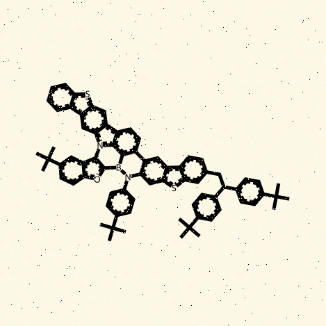 CC(C)(C)c1ccc(C(Cc2ccc3c(c2)sc2cc4c(cc23)-c2ccc3c5cc6sc7ccccc7c6cc5n5c3c2B(c2oc3ccc(C(C)(C)C)cc3c2-5)N4c2ccc(C(C)(C)C)cc2)c2ccc(C(C)(C)C)cc2)cc1